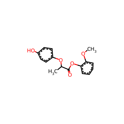 COc1ccccc1OC(=O)C(C)Oc1ccc(O)cc1